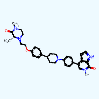 CCn1cc(-c2ccc(N3CCC(c4ccc(OCCN5CCN(C)C(=O)[C@H]5C)cc4)CC3)cc2)c2cc[nH]c2c1=O